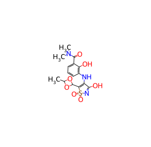 CC1OC(C2=C(Nc3cccc(C(=O)N(C)C)c3O)C(O)=NS2(=O)=O)O1